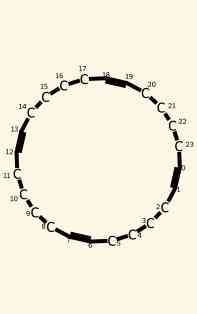 C1=CCCCCC=CCCCCC=CCCCCC=CCCCC1